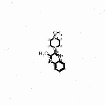 Cc1nc2ccccc2nc1N1CCN(C)CC1